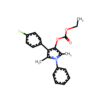 CCOC(=O)Oc1c(-c2ccc(F)cc2)c(C)n(-c2ccccc2)c1C